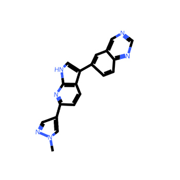 Cn1cc(-c2ccc3c(-c4ccc5ncncc5c4)c[nH]c3n2)cn1